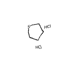 C1CCSC1.Cl.Cl